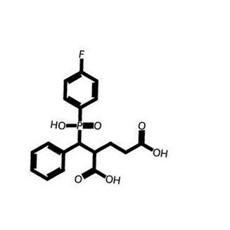 O=C(O)CCC(C(=O)O)C(c1ccccc1)P(=O)(O)c1ccc(F)cc1